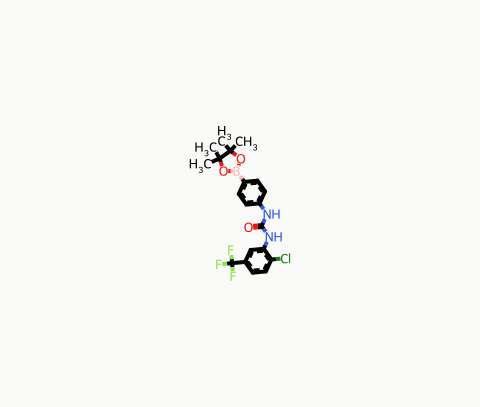 CC1(C)OB(c2ccc(NC(=O)Nc3cc(C(F)(F)F)ccc3Cl)cc2)OC1(C)C